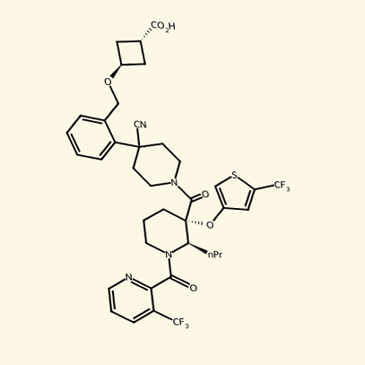 CCC[C@H]1N(C(=O)c2ncccc2C(F)(F)F)CCC[C@@]1(Oc1csc(C(F)(F)F)c1)C(=O)N1CCC(C#N)(c2ccccc2CO[C@H]2C[C@H](C(=O)O)C2)CC1